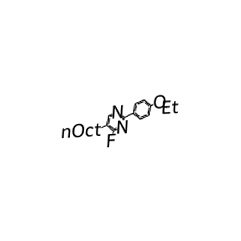 CCCCCCCCc1cnc(-c2ccc(OCC)cc2)nc1F